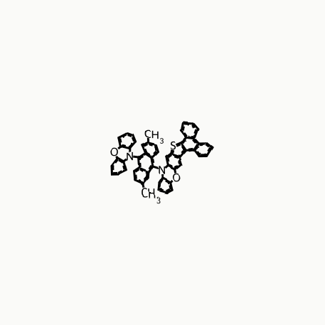 Cc1ccc2c(N3c4ccccc4Oc4cc5c(cc43)sc3c4ccccc4c4ccccc4c53)c3cc(C)ccc3c(N3c4ccccc4Oc4ccccc43)c2c1